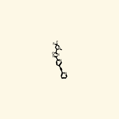 CN1CC(F)(F)CC1c1nc(-c2ccc(C#Cc3ccccn3)cn2)no1